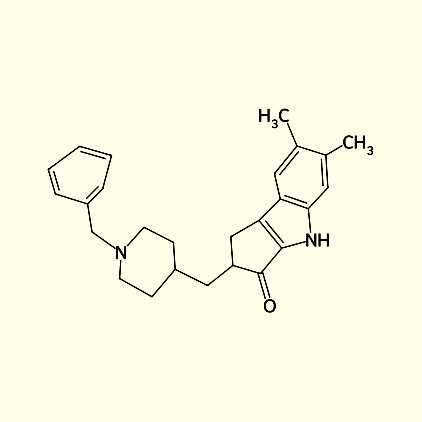 Cc1cc2[nH]c3c(c2cc1C)CC(CC1CCN(Cc2ccccc2)CC1)C3=O